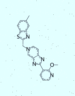 COc1ncccc1-c1nc2ccn(Cc3nc4cc(C)ccc4s3)cc-2n1